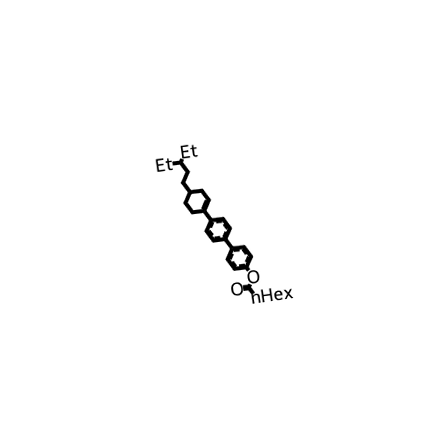 CCCCCCC(=O)Oc1ccc(-c2ccc(C3=CCC(CCC(CC)CC)CC3)cc2)cc1